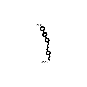 CCCC1CCC(c2ccc(-c3ccc(CCCCC4CCC(CCCOC)CC4)cc3F)cc2)CC1